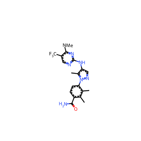 CNc1nc(Nc2cnn(-c3ccc(C(N)=O)c(C)c3C)c2C)ncc1C(F)(F)F